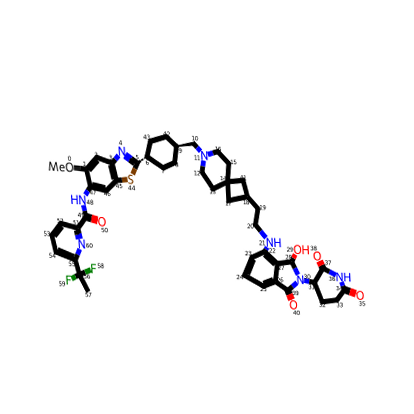 COc1cc2nc([C@H]3CC[C@H](CN4CCC5(CC4)CC(CCNc4cccc6c4C(O)N(C4CCC(=O)NC4=O)C6=O)C5)CC3)sc2cc1NC(=O)c1cccc(C(C)(F)F)n1